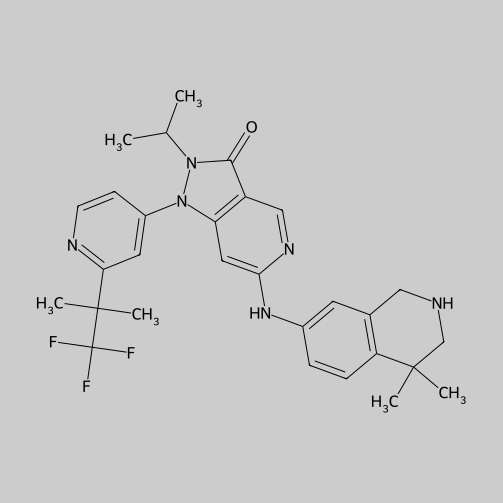 CC(C)n1c(=O)c2cnc(Nc3ccc4c(c3)CNCC4(C)C)cc2n1-c1ccnc(C(C)(C)C(F)(F)F)c1